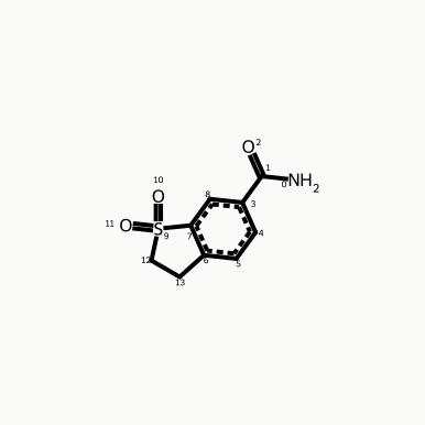 NC(=O)c1ccc2c(c1)S(=O)(=O)CC2